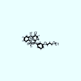 CCOCCCOc1cccc(Nc2ncc(Cl)c(Nc3ccccc3NS(C)(=O)=O)n2)c1